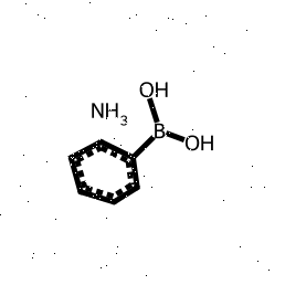 N.OB(O)c1ccccc1